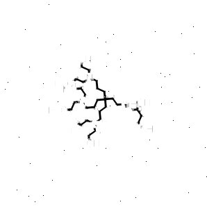 CCCC(C)O[SiH2]CCC(CCCN(CCC)CCC)(CCCN(CCC)CCC)CCCN(CCC)CCC